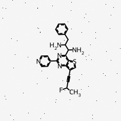 CC(F)C#Cc1csc2c(C(N)C(N)Cc3ccccc3)nc(-c3ccncc3)nc12